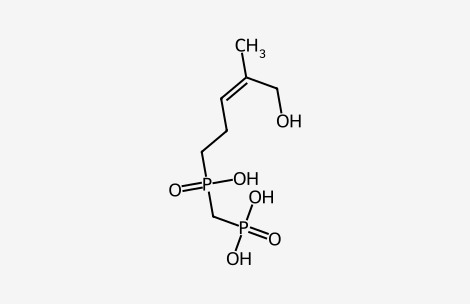 CC(=CCCP(=O)(O)CP(=O)(O)O)CO